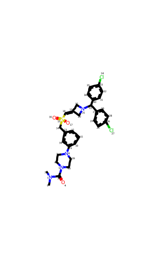 CN(C)C(=O)N1CCN(c2cccc(CS(=O)(=O)C=C3CN(C(c4ccc(Cl)cc4)c4ccc(Cl)cc4)C3)c2)CC1